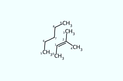 CC=C(C)C.CCCCC